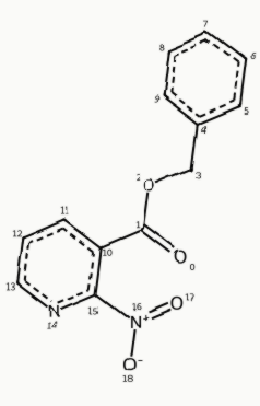 O=C(OCc1ccccc1)c1cccnc1[N+](=O)[O-]